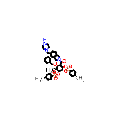 Cc1ccc(S(=O)(=O)Oc2cc(OS(=O)(=O)c3ccc(C)cc3)c(C(=O)N3Cc4ccc(CN5CCNCC5)cc4C3)c(OCc3ccccc3)c2C)cc1